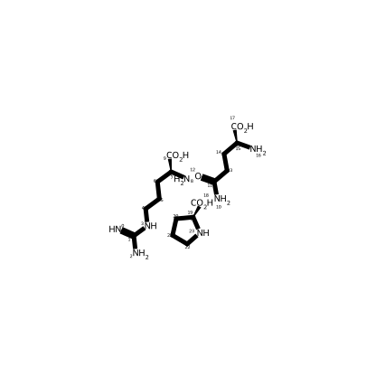 N=C(N)NCCC[C@H](N)C(=O)O.NC(=O)CC[C@H](N)C(=O)O.O=C(O)[C@@H]1CCCN1